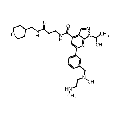 CNCCN(C)Cc1cccc(-c2cc(C(=O)NCCC(=O)NCC3CCOCC3)c3cnn(C(C)C)c3n2)c1